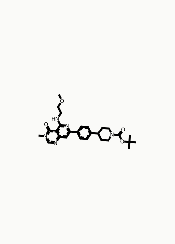 COCCNc1nc(-c2ccc(C3CCN(C(=O)OC(C)(C)C)CC3)cc2)cc2ncn(C)c(=O)c12